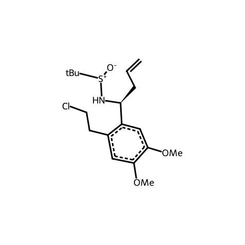 C=CC[C@H](N[S+]([O-])C(C)(C)C)c1cc(OC)c(OC)cc1CCCl